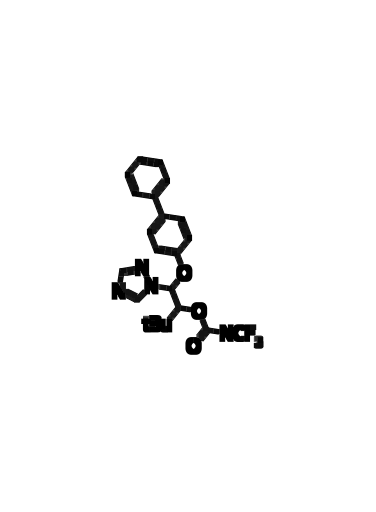 CC(C)(C)C(OC(=O)NC(F)(F)F)C(Oc1ccc(-c2ccccc2)cc1)n1cncn1